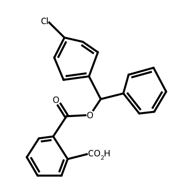 O=C(O)c1ccccc1C(=O)OC(c1ccccc1)c1ccc(Cl)cc1